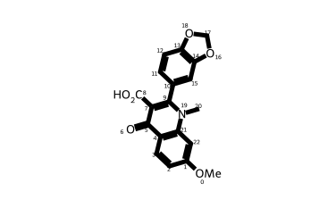 COc1ccc2c(=O)c(C(=O)O)c(-c3ccc4c(c3)OCO4)n(C)c2c1